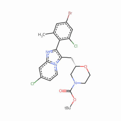 Cc1cc(Br)cc(Cl)c1-c1nc2cc(Cl)ccn2c1C[C@H]1CN(C(=O)OC(C)(C)C)CCO1